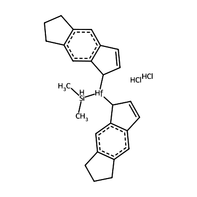 C[SiH](C)[Hf]([CH]1C=Cc2cc3c(cc21)CCC3)[CH]1C=Cc2cc3c(cc21)CCC3.Cl.Cl